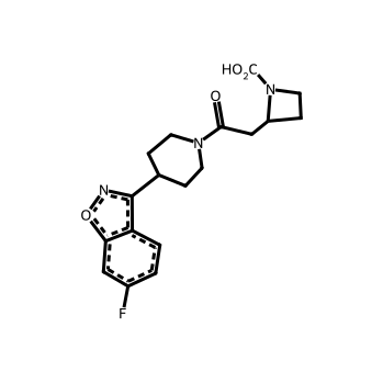 O=C(CC1CCN1C(=O)O)N1CCC(c2noc3cc(F)ccc23)CC1